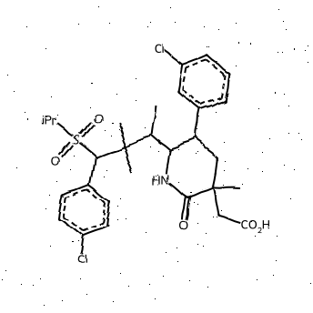 CC(C1NC(=O)C(C)(CC(=O)O)CC1c1cccc(Cl)c1)C(C)(C)C(c1ccc(Cl)cc1)S(=O)(=O)C(C)C